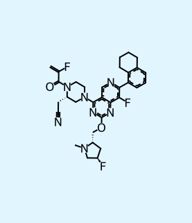 C=C(F)C(=O)N1CCN(c2nc(OC[C@@H]3C[C@@H](F)CN3C)nc3c(F)c(-c4cccc5c4CCCC5)ncc23)C[C@@H]1CC#N